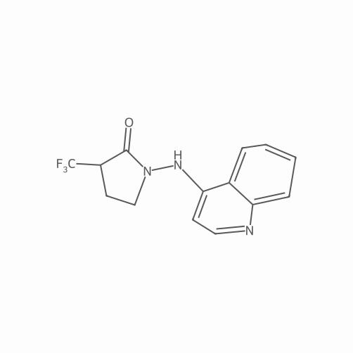 O=C1C(C(F)(F)F)CCN1Nc1ccnc2ccccc12